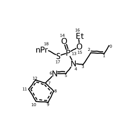 CC=CCN(C=Nc1ccccc1)P(=O)(OCC)SCCC